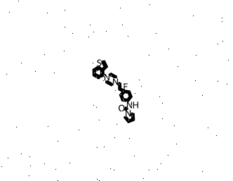 O=C(N[C@H]1CC[C@](F)(CCN2CCN(c3cccc4sccc34)CC2)CC1)N1CCCC1